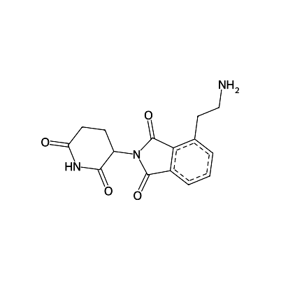 NCCc1cccc2c1C(=O)N(C1CCC(=O)NC1=O)C2=O